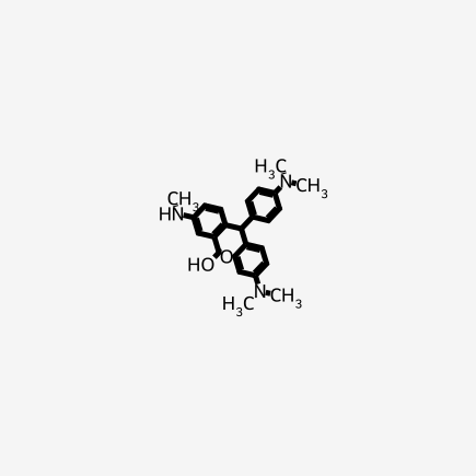 CNc1ccc(C(c2ccc(N(C)C)cc2)c2ccc(N(C)C)cc2)c(C(=O)O)c1